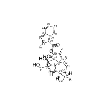 CC1=CC23C(=O)[C@@H](C=C(CO)[C@@H](O)[C@]2(O)[C@H]1OC(=O)c1c2ccccc2nn1C)[C@H]1[C@@H](CC3C)C1(C)C